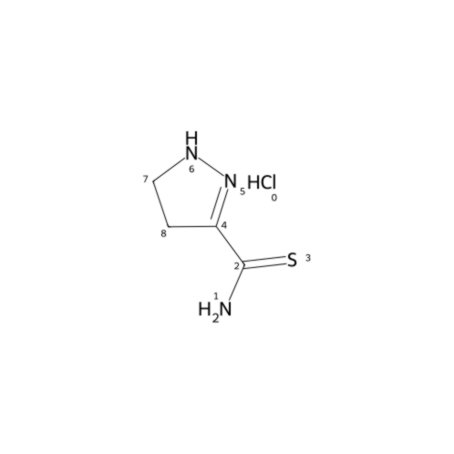 Cl.NC(=S)C1=NNCC1